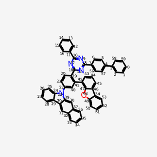 c1ccc(-c2ccc(-c3nc(-c4ccccc4)nc(-c4ccc(-n5c6ccccc6c6cc7ccccc7cc65)cc4-c4cccc5c4oc4ccccc45)n3)cc2)cc1